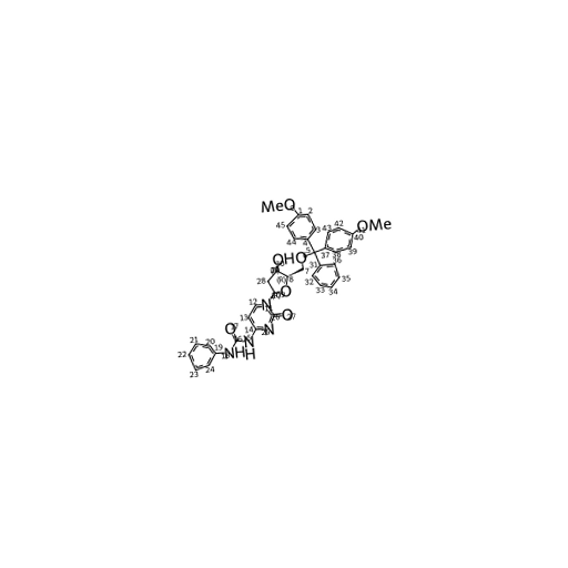 COc1ccc(C(OC[C@H]2O[C@@H](n3ccc(NC(=O)Nc4ccccc4)nc3=O)C[C@H]2O)(c2ccccc2)c2ccc(OC)cc2)cc1